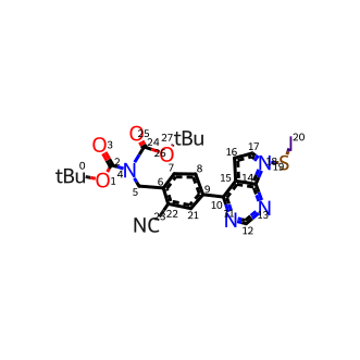 CC(C)(C)OC(=O)N(Cc1ccc(-c2ncnc3c2ccn3SI)cc1C#N)C(=O)OC(C)(C)C